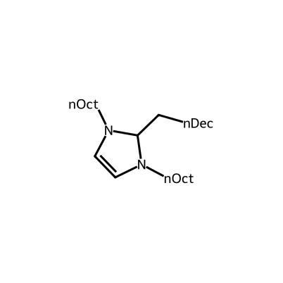 CCCCCCCCCCCC1N(CCCCCCCC)C=CN1CCCCCCCC